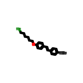 CNc1ccc(/C=C/c2ccc(OCCCCCC[18F])cc2)cc1